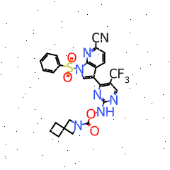 N#Cc1ccc2c(-c3nc(NOC(=O)N4CC5(CCC5)C4)ncc3C(F)(F)F)cn(S(=O)(=O)c3ccccc3)c2n1